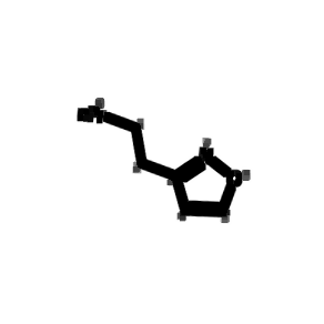 CCCCCc1c[c]on1